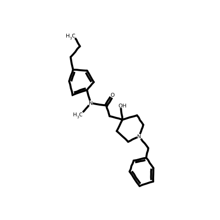 CCCc1ccc(N(C)C(=O)CC2(O)CCN(Cc3ccccc3)CC2)cc1